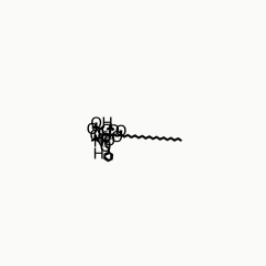 CCCCCCCCCCCCCCCCCC(=O)OC[C@H]1O[C@@H](OCc2ccccc2)[C@H](NC(C)=O)[C@@H](OC(C)C(=O)O)[C@@H]1OC(C)=O